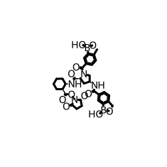 O=C(N[C@@H]1C[C@@H](C(=O)N[C@H]2CCCC[C@@H]2C(=O)ON2C(=O)CCC2=O)N(C(=O)c2ccc3c(c2)B(O)OC3)C1)c1ccc2c(c1)B(O)OC2